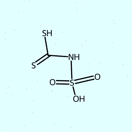 O=S(=O)(O)NC(=S)S